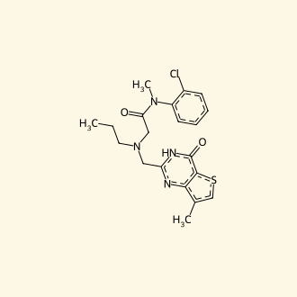 CCCN(CC(=O)N(C)c1ccccc1Cl)Cc1nc2c(C)csc2c(=O)[nH]1